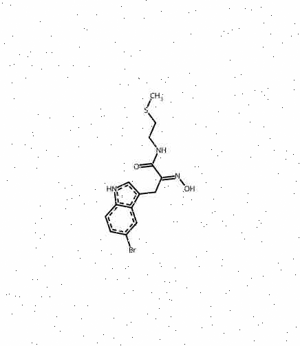 CSCCNC(=O)/C(Cc1c[nH]c2ccc(Br)cc12)=N/O